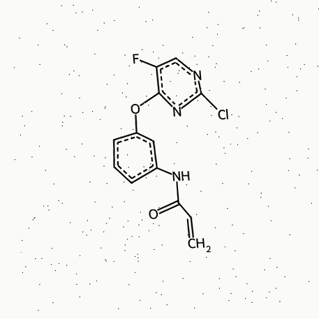 C=CC(=O)Nc1cccc(Oc2nc(Cl)ncc2F)c1